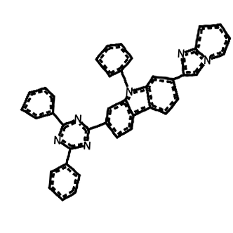 c1ccc(-c2nc(-c3ccccc3)nc(-c3ccc4c5ccc(-c6cn7ccccc7n6)cc5n(-c5ccccc5)c4c3)n2)cc1